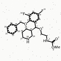 COC(=O)NCCOC(c1cc(F)cc(F)c1OCc1ccccc1)[C@@H]1CCCNC1